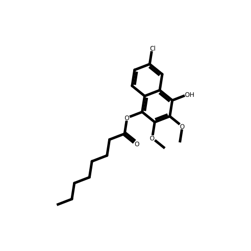 CCCCCCCC(=O)Oc1c(OC)c(OC)c(O)c2cc(Cl)ccc12